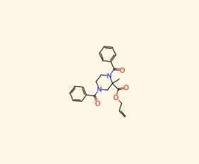 C=CCOC(=O)C1(C)CN(C(=O)c2ccccc2)CCN1C(=O)c1ccccc1